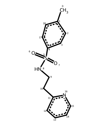 Cc1ccc(S(=O)(=O)NCCc2ccccn2)cc1